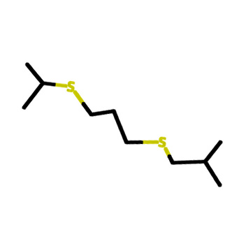 CC(C)CSCCCSC(C)C